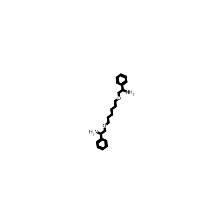 NC(COCCCCCCOCC(N)c1ccccc1)c1ccccc1